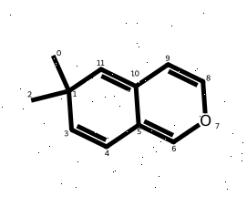 CC1(C)C=CC2=COC=CC2=C1